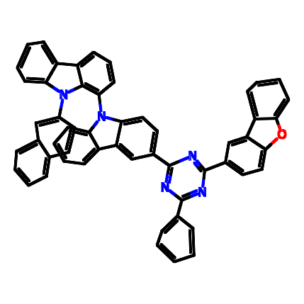 c1ccc(-c2nc(-c3ccc4oc5ccccc5c4c3)nc(-c3ccc4c(c3)c3ccccc3n4-c3cccc4c5ccccc5n(-c5ccc6ccccc6c5)c34)n2)cc1